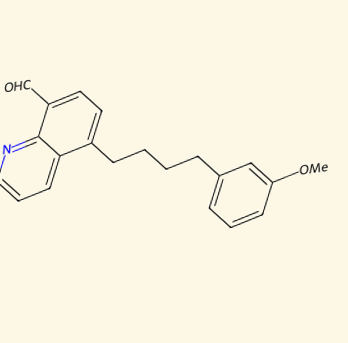 COc1cccc(CCCCc2ccc(C=O)c3ncccc23)c1